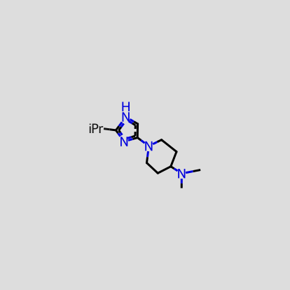 CC(C)c1nc(N2CCC(N(C)C)CC2)c[nH]1